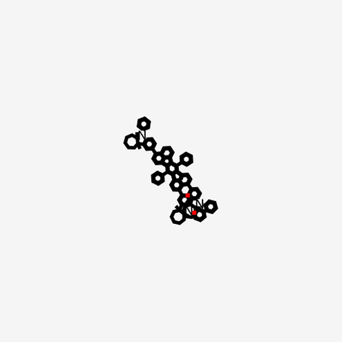 CC12CCCCCC1(C)N(c1ccccc1)c1ccc(-c3ccc4c5c(-c6ccccc6)c6c7ccc(-c8ccc9c(c8)C8(C)CCCCCC8(C)N9c8ccccc8)c8c(-c9ccc%10c(c9)C9(C)CCCCCC9(C)N%10c9ccccc9)ccc(c6c(-c6ccccc6)c5c5cccc3c54)c87)cc12